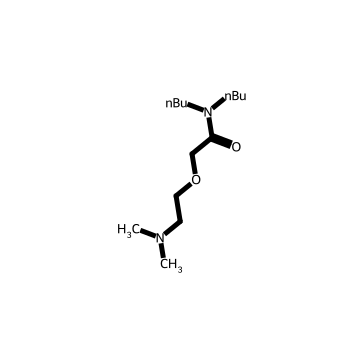 CCCCN(CCCC)C(=O)COCCN(C)C